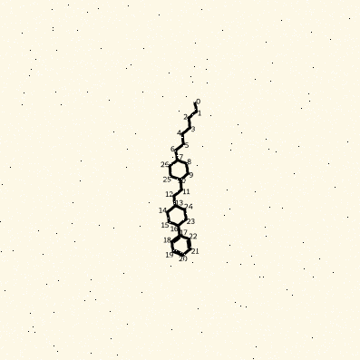 CCCCCCCC1CCC(CCC2CCC(c3ccccc3)CC2)CC1